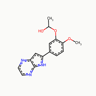 COc1ccc(-c2cc3nccnc3[nH]2)cc1OC(C)O